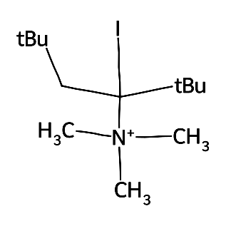 CC(C)(C)CC(I)(C(C)(C)C)[N+](C)(C)C